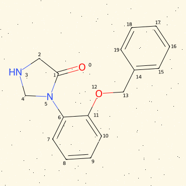 O=C1CNCN1c1ccccc1OCc1ccccc1